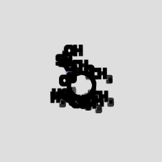 C/C(=C\c1csc(CO)n1)C1CC2O[C@]2(C)CCC[C@H](C)[C@H](O)[C@@H](C)C(=O)C(C)(C)[C@@H](O)CC(=O)O1